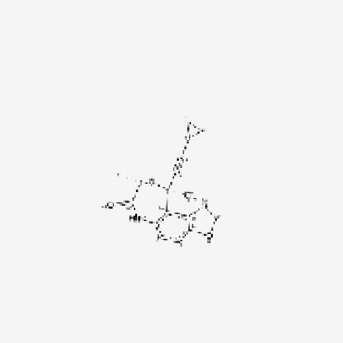 C[C@@H]1O[C@](C#CC2CC2)(C(F)(F)F)c2c(ccc3c2OCO3)NC1=O